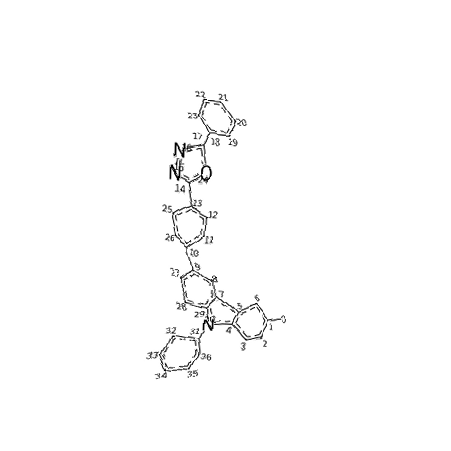 Cc1ccc2c(c1)c1cc(-c3ccc(-c4nnc(-c5ccccc5)o4)cc3)ccc1n2-c1ccccc1